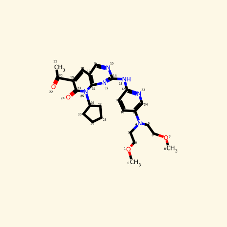 COCCN(CCOC)c1ccc(Nc2ncc3cc(C(C)=O)c(=O)n(C4CCCC4)c3n2)nc1